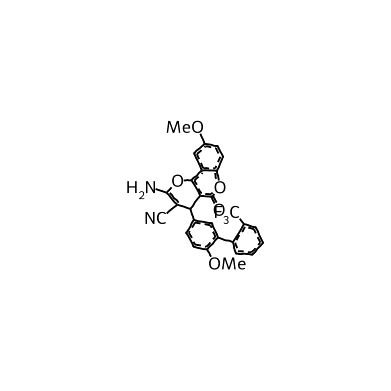 COc1ccc2oc(=O)c3c(c2c1)OC(N)=C(C#N)C3c1ccc(OC)c(-c2ccccc2C(F)(F)F)c1